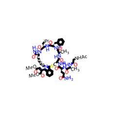 COC(=O)/C=C(\C(=O)OC)c1c2ccccc2c2n1CCCC[C@@H](C(N)=O)NC(=O)[C@H](CC(C)C)NC(=O)[C@H](Cc1ccccc1)NC(=O)[C@H](C)NC(=O)[C@@H](NC(=O)[C@H](CCC(N)=O)NC(=O)[C@H](C)NC(=O)CNC(C)=O)CS2